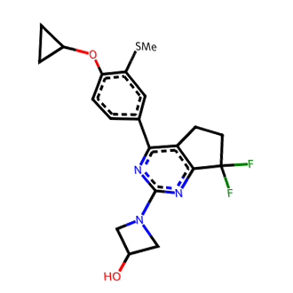 CSc1cc(-c2nc(N3CC(O)C3)nc3c2CCC3(F)F)ccc1OC1CC1